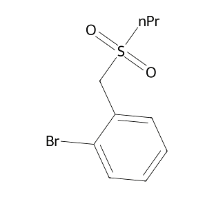 CCCS(=O)(=O)Cc1ccccc1Br